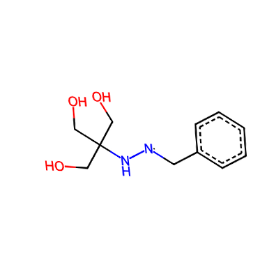 OCC(CO)(CO)N[N]Cc1ccccc1